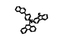 c1ccc2cc(-c3ccc(N(c4ccc5c(c4)sc4ccccc45)c4cc5ccccc5c5ccccc45)cc3)ccc2c1